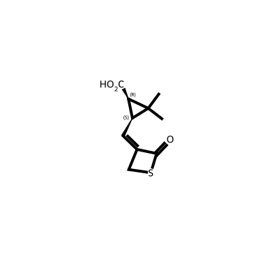 CC1(C)[C@H](C(=O)O)[C@@H]1C=C1CSC1=O